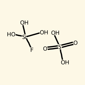 O=S(=O)(O)O.O[Si](O)(O)F